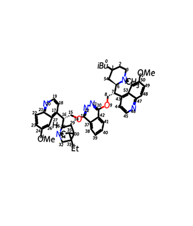 CCC(C)C1CCN(C)[C@@H]([C@@H](COc2nnc(OC[C@@H](c3ccnc4ccc(OC)cc34)[C@H]3CC4CC[N@]3CC4CC)c3ccccc23)c2ccnc3ccc(OC)cc23)C1